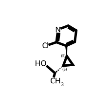 CC(O)[C@H]1C[C@@H]1c1cccnc1Cl